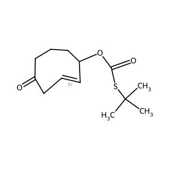 CC(C)(C)SC(=O)OC1/C=C/CC(=O)CCC1